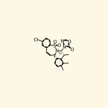 Cc1ccc(F)c(C(C)[C@H](N2CC=Cc3cc(Cl)ccc3S2(=O)=O)n2ncoc2=O)c1C